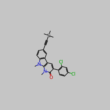 Cn1c(=O)c(-c2ccc(Cl)cc2Cl)cc2c3cc(C#C[Si](C)(C)C)ccc3n(C)c21